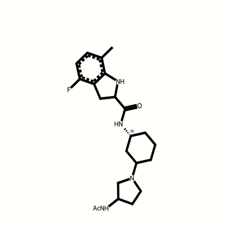 CC(=O)NC1CCN(C2CCC[C@@H](NC(=O)C3Cc4c(F)ccc(C)c4N3)C2)C1